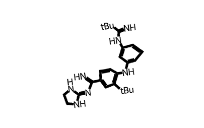 CC(C)(C)C(=N)Nc1cccc(Nc2ccc(C(=N)N=C3NCCN3)cc2C(C)(C)C)c1